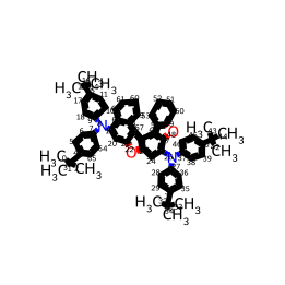 CC(C)(C)c1ccc(N(c2ccc(C(C)(C)C)cc2)c2cc3oc4cc(N(c5ccc(C(C)(C)C)cc5)c5ccc(C(C)(C)C)cc5)c5oc6ccccc6c5c4c3c3ccccc23)cc1